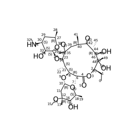 CC[C@H]1OC(=O)[C@H](C)[C@@H](O[C@H]2C[C@@](C)(OC)[C@@H](O)[C@H](C)O2)[C@H](C)[C@@H](O[C@@H]2O[C@H](C)C[C@H](NC)[C@@H]2O)[C@](C)(OC)C[C@@H](C)C(=O)[C@H](C)[C@@H](O)[C@]1(C)O